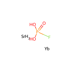 O=P(O)(O)F.[SrH2].[Yb]